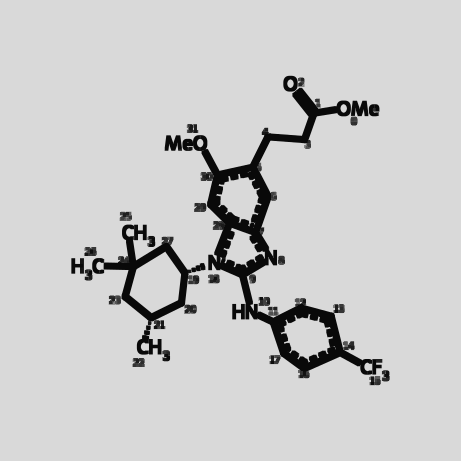 COC(=O)CCc1cc2nc(Nc3ccc(C(F)(F)F)cc3)n([C@@H]3C[C@H](C)CC(C)(C)C3)c2cc1OC